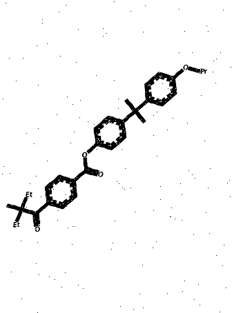 CCC(C)(CC)C(=O)c1ccc(C(=O)Oc2ccc(C(C)(C)c3ccc(OC(C)C)cc3)cc2)cc1